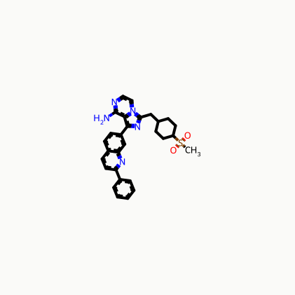 CS(=O)(=O)C1CCC(Cc2nc(-c3ccc4ccc(-c5ccccc5)nc4c3)c3c(N)nccn23)CC1